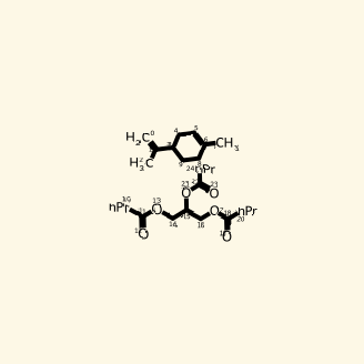 C=C(C)C1CC=C(C)CC1.CCCC(=O)OCC(COC(=O)CCC)OC(=O)CCC